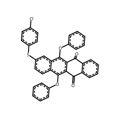 O=C1c2ccccc2C(=O)c2c1c(Oc1ccccc1)c1ccc(Sc3ccc(Cl)cc3)cc1c2Oc1ccccc1